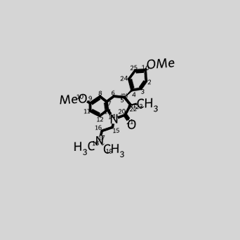 COc1ccc([C@@H]2Cc3cc(OC)ccc3N(CCN(C)C)C(=O)[C@@H]2C)cc1